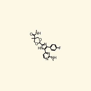 CNC(=O)C1(C)COC(c2nc(-c3ccc(F)cc3)c(-c3ccnc(NC)n3)[nH]2)OC1